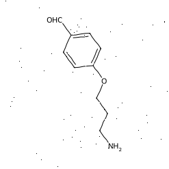 NCCCOc1ccc(C=O)cc1